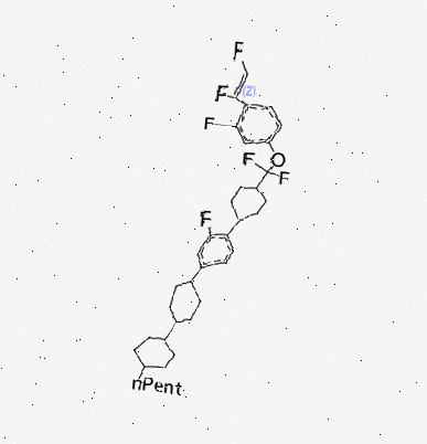 CCCCCC1CCC(C2CCC(c3ccc(C4CCC(C(F)(F)Oc5ccc(/C(F)=C/F)c(F)c5)CC4)c(F)c3)CC2)CC1